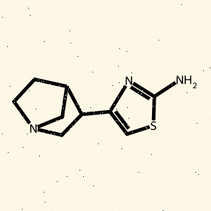 Nc1nc(C2CN3CCC2C3)cs1